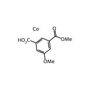 COC(=O)c1cc(OC)cc(C(=O)O)c1.[Co]